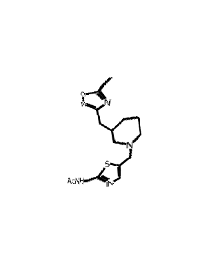 CC(=O)Nc1ncc(CN2CCCC(Cc3noc(C)n3)C2)s1